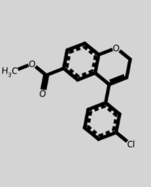 COC(=O)c1ccc2c(c1)C(c1cccc(Cl)c1)=CCO2